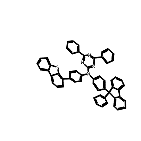 c1ccc(-c2nc(-c3ccccc3)nc(N(c3ccc(-c4cccc5c4sc4ccccc45)cc3)c3ccc(C4(c5ccccc5)c5ccccc5-c5ccccc54)cc3)n2)cc1